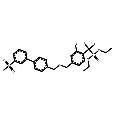 CCOP(=O)(OCC)C(F)(F)c1ccc(CSCc2ccc(-c3cccc(S(C)(=O)=O)c3)cc2)cc1Br